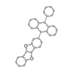 c1ccc(-c2c3ccccc3c(-c3ccc4c(c3)oc3c5ccccc5oc43)c3ccccc23)cc1